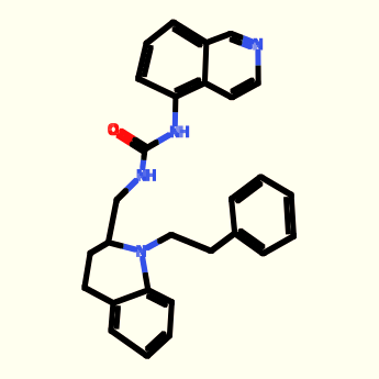 O=C(NCC1CCc2ccccc2N1CCc1ccccc1)Nc1cccc2cnccc12